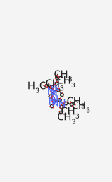 Cc1ccc(-c2ccc3c(c2)c2cc(-c4ccc(C)cc4C)ccc2n3-c2cc(-c3cccc(-c4ccc(-n5c6ccc(-c7ccc(C)cc7C)cc6c6cc(-c7ccc(C)cc7C)ccc65)c(-c5nc(-c6ccccc6)nc(-c6ccccc6)n5)c4)c3)cc(-c3nc(-c4ccccc4)nc(-c4ccccc4)n3)c2)c(C)c1